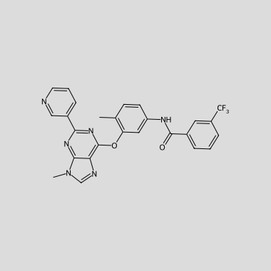 Cc1ccc(NC(=O)c2cccc(C(F)(F)F)c2)cc1Oc1nc(-c2cccnc2)nc2c1ncn2C